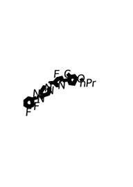 CCCOc1ccc(-c2ccc(Cn3cc4nc(-c5cccc(F)c5F)nc-4cn3)cn2)c(C(F)(F)F)c1